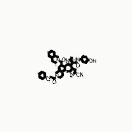 Cc1c(-c2c(C(=O)Nc3ccc(O)cc3)c(C)n(C)c2-c2cc3c(cc2C(=O)N2Cc4ccccc4C[C@H]2C)CN(C(=O)COc2ccccc2)CC3)cc(C#N)n1C